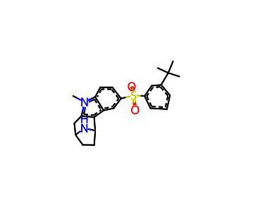 Cn1c2c(c3cc(S(=O)(=O)c4cccc(C(C)(C)C)c4)ccc31)C1CCC(C2)N1